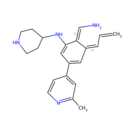 C=C/C=c1/cc(-c2ccnc(C)c2)cc(NC2CCNCC2)/c1=C/N